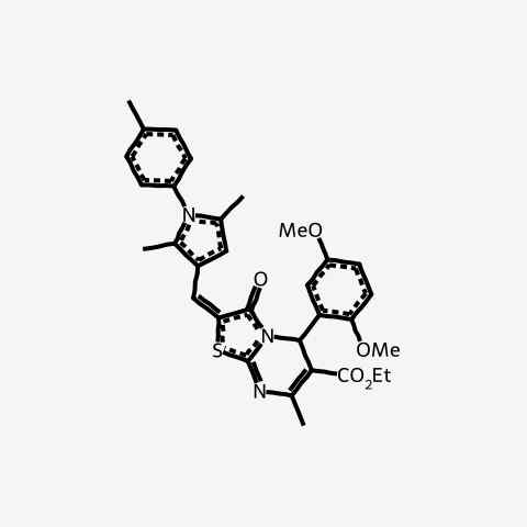 CCOC(=O)C1=C(C)N=c2s/c(=C/c3cc(C)n(-c4ccc(C)cc4)c3C)c(=O)n2C1c1cc(OC)ccc1OC